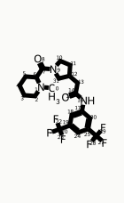 CN1CCCCC1C(=O)N1CCC(CC(=O)Nc2cc(C(F)(F)F)cc(C(F)(F)F)c2)C1